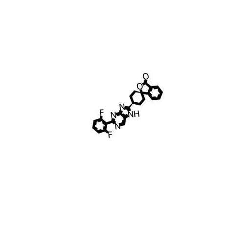 O=C1O[C@]2(CC[C@H](c3nc4nc(-c5c(F)cccc5F)ncc4[nH]3)CC2)c2ccccc21